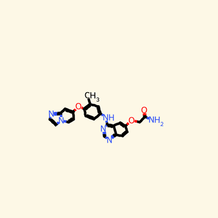 Cc1cc(Nc2ncnc3ccc(OCC(N)=O)cc23)ccc1Oc1ccn2ccnc2c1